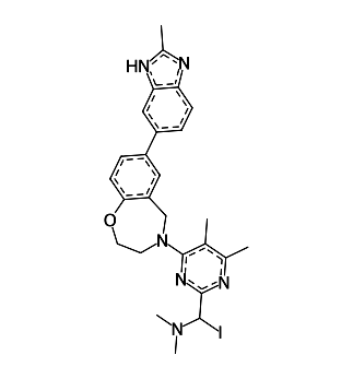 Cc1nc2ccc(-c3ccc4c(c3)CN(c3nc(C(I)N(C)C)nc(C)c3C)CCO4)cc2[nH]1